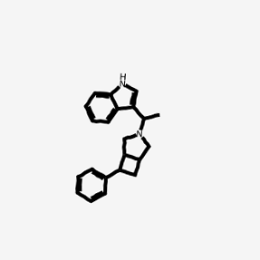 CC(c1c[nH]c2ccccc12)N1CC2CC(c3ccccc3)C2C1